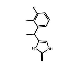 C=C1NC=C(C(C)c2cccc(C)c2C)N1